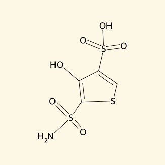 NS(=O)(=O)c1scc(S(=O)(=O)O)c1O